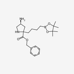 CC1(C)OB(CCCCC2(C(=O)OCc3ccccc3)C[C@H](N)CN2)OC1(C)C